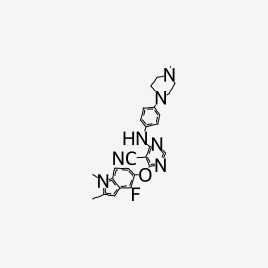 Cc1cc2c(F)c(Oc3ncnc(Nc4ccc(N5CCN(C)CC5)cc4)c3C#N)ccc2n1C